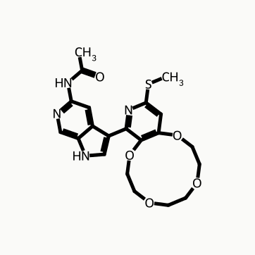 CSc1cc2c(c(-c3c[nH]c4cnc(NC(C)=O)cc34)n1)OCCOCCOCCO2